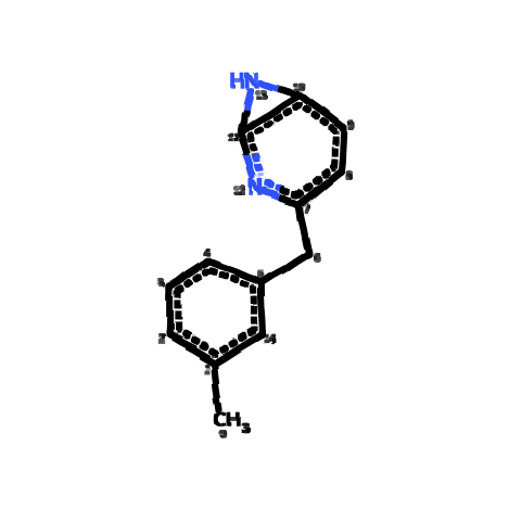 Cc1cccc(Cc2ccc3c(n2)N3)c1